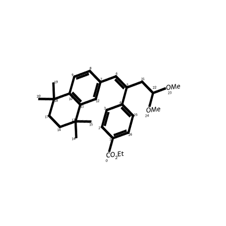 CCOC(=O)c1ccc(C(=Cc2ccc3c(c2)C(C)(C)CCC3(C)C)CC(OC)OC)cc1